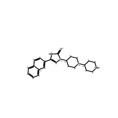 O=c1[nH]c(-c2ccc3ccccc3c2)cn1C1CCN(C2CCNCC2)CC1